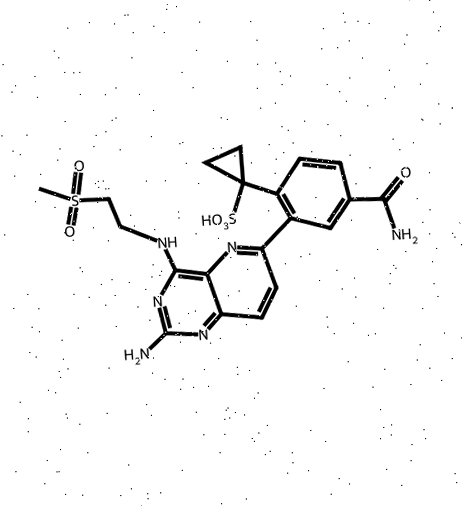 CS(=O)(=O)CCNc1nc(N)nc2ccc(-c3cc(C(N)=O)ccc3C3(S(=O)(=O)O)CC3)nc12